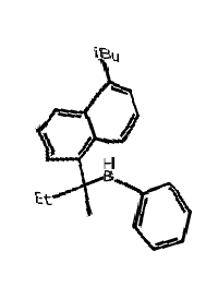 CCC(C)c1cccc2c(C(C)(Bc3ccccc3)CC)cccc12